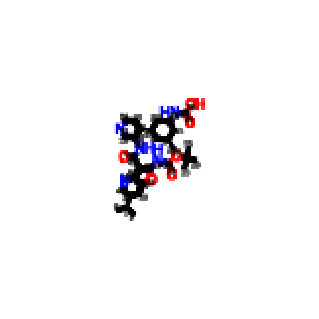 CC(C)c1cnc2c(C(=O)Nc3cnccc3[C@@H]3C[C@H](C)C[C@H](NC(=O)O)C3)c(NC(=O)OC(C)(C)C)oc2c1